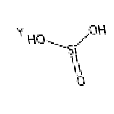 O=[Si](O)O.[Y]